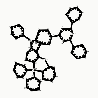 c1ccc(-c2nc(-c3ccccc3)nc(-c3ccc4c(c3)c3c5c(ccc3n4-c3ccccc3)[Si](c3ccccc3)(c3ccccc3)c3ccccc3O5)n2)cc1